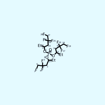 CCC(CC(F)(F)CF)OP(=O)(OC(CC)CC(F)(F)CF)OC(CC)CC(F)(F)CF